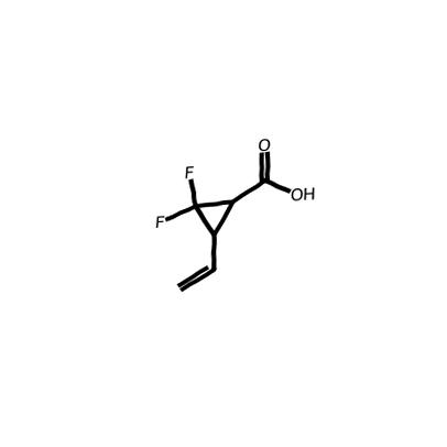 C=CC1C(C(=O)O)C1(F)F